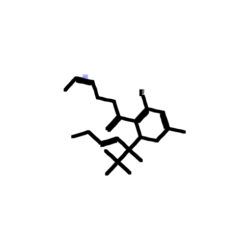 C=C(CC/C=C\C)C1=C(F)C=C(C)CC1C(C)(C=CCC)C(C)(C)C